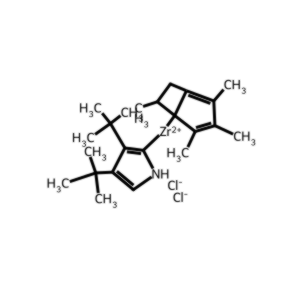 CC1=C(C)[C]2([Zr+2][c]3[nH]cc(C(C)(C)C)c3C(C)(C)C)C(=C1C)CC2C.[Cl-].[Cl-]